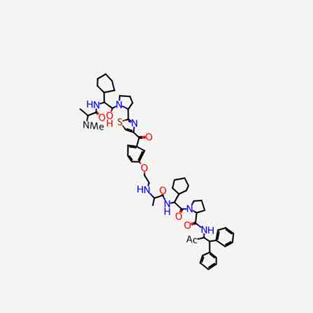 CNC(C)C(=O)NC(C1CCCCC1)C(O)N1CCCC1c1nc(C(=O)c2cccc(OCCNC(C)C(=O)NC(C(=O)N3CCCC3C(=O)NC(C(C)=O)C(c3ccccc3)c3ccccc3)C3CCCCC3)c2)cs1